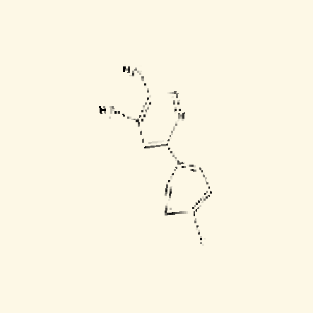 Cc1cnc(-c2ccc(Cl)cc2)cc1N